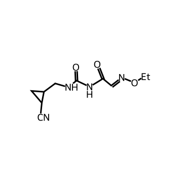 CCON=CC(=O)NC(=O)NCC1CC1C#N